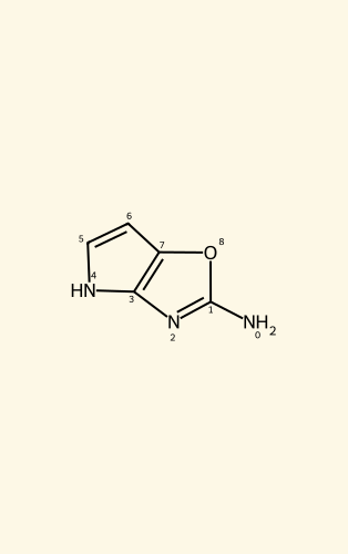 Nc1nc2[nH]ccc2o1